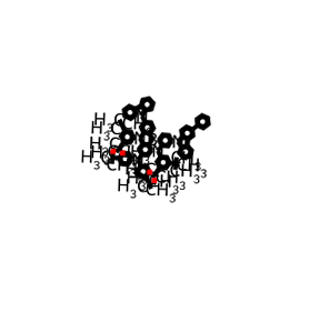 CC(C)(C)c1ccc(N(c2ccc(C(C)(C)C)cc2)c2cc3c4c(c2)N(c2cc(C(C)(C)C)cc(C(C)(C)C)c2)c2cc(-n5c6ccccc6c6cc(-c7ccccc7)ccc65)ccc2B4c2ccc(-n4c5ccccc5c5ccccc54)cc2N3c2cc(C(C)(C)C)cc(C(C)(C)C)c2)cc1